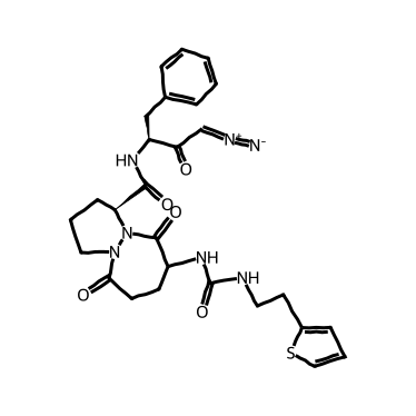 [N-]=[N+]=CC(=O)[C@H](Cc1ccccc1)NC(=O)[C@@H]1CCCN2C(=O)CCC(NC(=O)NCCc3cccs3)C(=O)N12